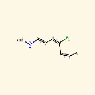 C\C=C/C(Br)=C\C=C\NC=O